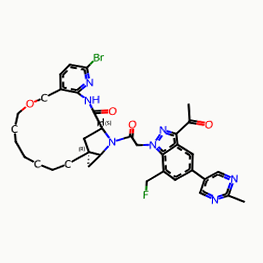 CC(=O)c1nn(CC(=O)N2C3C[C@@]34CCCCCCCOCc3ccc(Br)nc3NC(=O)[C@@H]2C4)c2c(CF)cc(-c3cnc(C)nc3)cc12